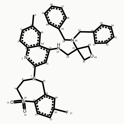 Cc1ccc2nc(N3CCS(=O)(=O)c4ccc(F)cc4C3)cc(NCC3(N(Cc4ccccc4)Cc4ccccc4)COC3)c2c1